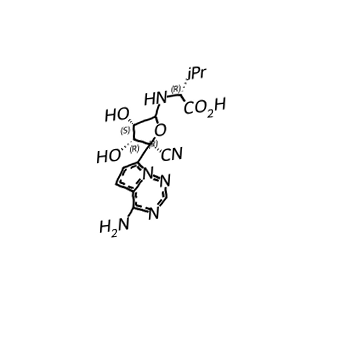 CC(C)[C@@H](NC1O[C@@](C#N)(c2ccc3c(N)ncnn23)[C@H](O)[C@@H]1O)C(=O)O